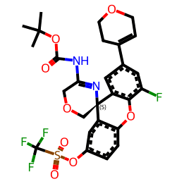 CC(C)(C)OC(=O)NC1=N[C@@]2(COC1)c1cc(OS(=O)(=O)C(F)(F)F)ccc1Oc1c(F)cc(C3=CCOCC3)cc12